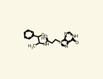 CC(NC(=O)CCn1cnc2c(=O)[nH]cnc21)C(O)c1ccccc1